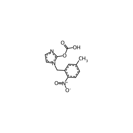 Cc1ccc([N+](=O)[O-])c(Cn2ccnc2OC(=O)O)c1